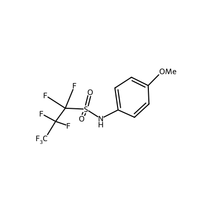 COc1ccc(NS(=O)(=O)C(F)(F)C(F)(F)C(F)(F)F)cc1